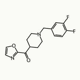 O=C(c1ncco1)C1CCN(Cc2ccc(F)c(F)c2)CC1